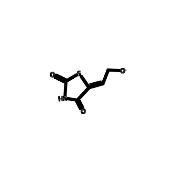 [O]CC=C1SC(=O)NC1=O